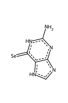 Nc1nc2nc[nH]c2c(=[Se])[nH]1